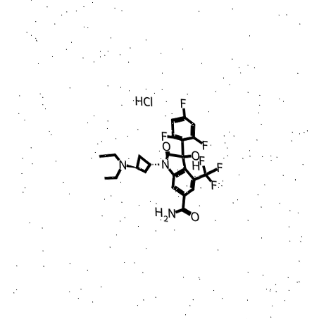 CCN(CC)[C@H]1C[C@H](N2C(=O)C(O)(c3c(F)cc(F)cc3F)c3c2cc(C(N)=O)cc3C(F)(F)F)C1.Cl